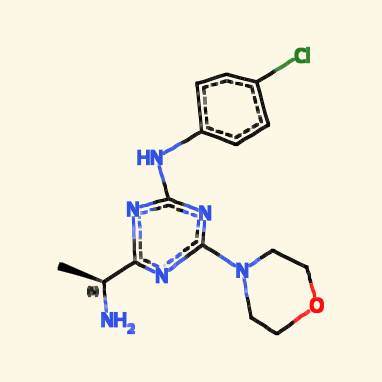 C[C@H](N)c1nc(Nc2ccc(Cl)cc2)nc(N2CCOCC2)n1